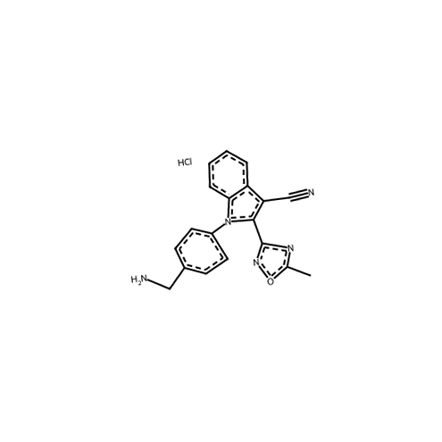 Cc1nc(-c2c(C#N)c3ccccc3n2-c2ccc(CN)cc2)no1.Cl